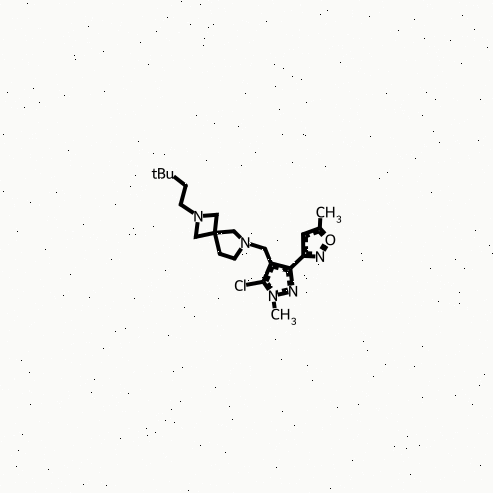 Cc1cc(-c2nn(C)c(Cl)c2CN2CCC3(C2)CN(CCC(C)(C)C)C3)no1